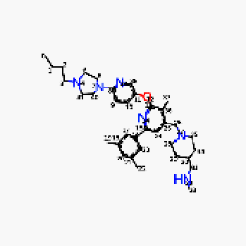 CCCCN1CCN(c2ccc(Oc3nc(-c4cc(C)cc(C)c4)cc(CN4CCC(CNC)CC4)c3C)cn2)CC1